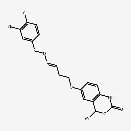 CC(C)C1OC(=O)Nc2ccc(OCCC=NOSc3ccc(Cl)c(Cl)c3)cc21